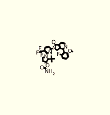 COc1cccc(F)c1-c1nccc2c1CN(c1ccc(C(F)(F)F)c(N3CC[C@@H](OC(N)=O)C3C(C)(C)C)n1)C2=O